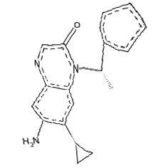 C[C@@H](c1ccccc1)n1c(=O)cnc2cc(N)c(C3CC3)cc21